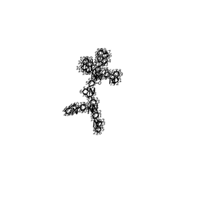 Cc1cc(-c2cccc3cc(-c4ccc5nc(-c6ccc(-c7ccc8ccccc8n7)cc6)nc(-c6ccc(-c7ccc8ccccc8n7)cc6)c5c4)cnc23)ccc1-c1nc(-c2ccc(-c3cccc4cccnc34)cc2C)c2cc(-c3ccc4ccc5cccc6ccc3c4c56)cc(-c3ccc4ccc5cccc6ccc3c4c56)c2n1